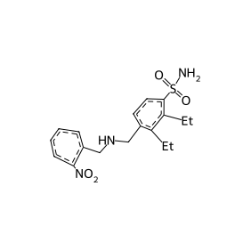 CCc1c(CNCc2ccccc2[N+](=O)[O-])ccc(S(N)(=O)=O)c1CC